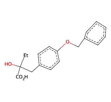 CCC(O)(Cc1ccc(OCc2ccccc2)cc1)C(=O)O